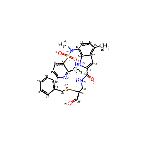 Cc1ncccc1S(=O)(=O)N(C)c1ccc(C)c2cc(C(=O)NCC(C=O)SCc3ccccc3)[nH]c12